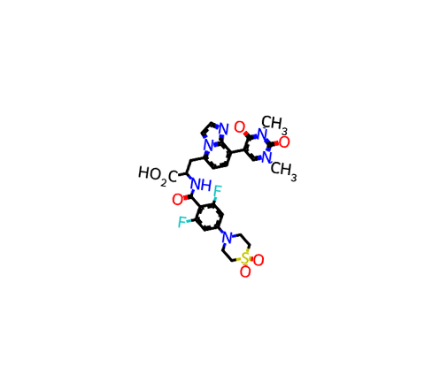 Cn1cc(-c2ccc(CC(NC(=O)c3c(F)cc(N4CCS(=O)(=O)CC4)cc3F)C(=O)O)n3ccnc23)c(=O)n(C)c1=O